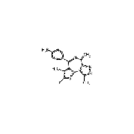 Bc1ccc(C2=NC(=C)c3nnc(C)n3-c3sc(I)c(C)c32)cc1